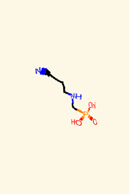 N#CCCNCP(=O)(O)O